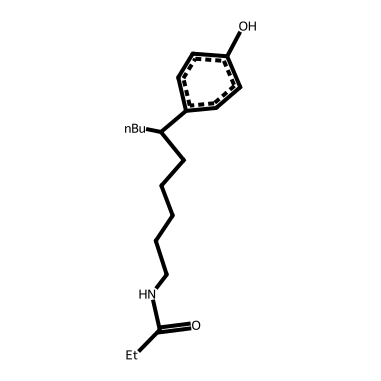 CCCCC(CCCCCNC(=O)CC)c1ccc(O)cc1